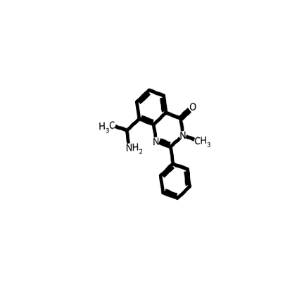 CC(N)c1cccc2c(=O)n(C)c(-c3ccccc3)nc12